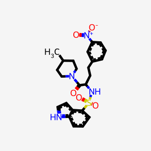 CC1CCN(C(=O)C(CCc2cccc([N+](=O)[O-])c2)NS(=O)(=O)c2cccc3[nH]ccc23)CC1